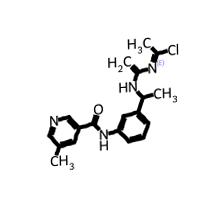 C=C(/N=C(\C)Cl)NC(C)c1cccc(NC(=O)c2cncc(C)c2)c1